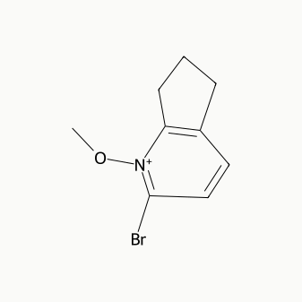 CO[n+]1c(Br)ccc2c1CCC2